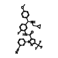 COc1ccc(C(NCC2CC2)c2ccc(F)c(NC(=O)c3cc(C(F)(F)F)nn3-c3cccc(C#N)c3)c2)cc1